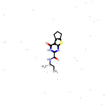 CC[C@H](C)NC(=O)c1nc2sc3c(c2c(=O)[nH]1)CCC3